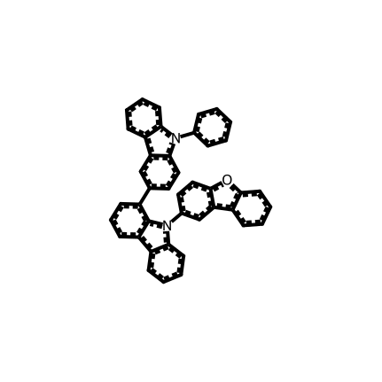 c1ccc(-n2c3ccccc3c3cc(-c4cccc5c6ccccc6n(-c6ccc7oc8ccccc8c7c6)c45)ccc32)cc1